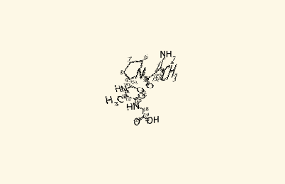 C[C@H](N)C(=O)N1CCC[C@H]1C(=O)N[C@@H](C)C(=O)NCC(=O)O